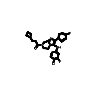 O=C(CCC1CCC1)N1CCn2c(nc(-c3ccc(F)cc3)c2Nc2ccc(Cl)c(F)c2)C1